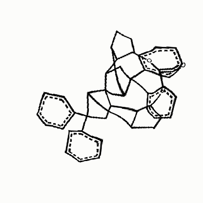 O=C1OC2CCC3C2C2CC(c4ccccc4)(c4ccccc4)C3C23C2CC(c4ccccc4)(c4ccccc4)C3C3CCC(O1)C32